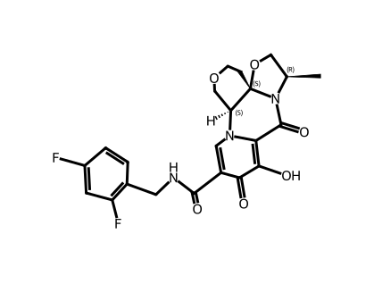 C[C@@H]1CO[C@@]23CCOC[C@@H]2n2cc(C(=O)NCc4ccc(F)cc4F)c(=O)c(O)c2C(=O)N13